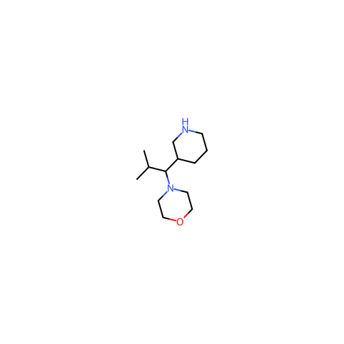 CC(C)C(C1CCCNC1)N1CCOCC1